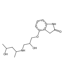 CC(O)CC(C)NCC(O)COc1cccc2c1CC(=O)N2